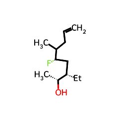 C=CCC(C)[C@@H](F)C[C@H](CC)[C@@H](C)O